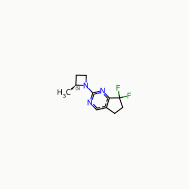 C[C@H]1CCN1c1ncc2c(n1)C(F)(F)CC2